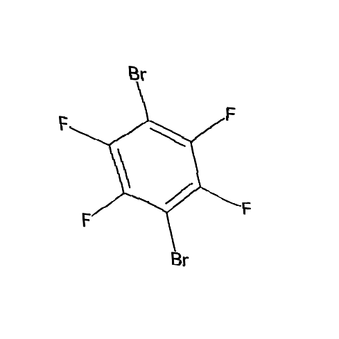 Fc1c(F)c(Br)c(F)c(F)c1Br